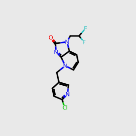 O=c1nc2n(Cc3ccc(Cl)nc3)cccc-2n1CC(F)F